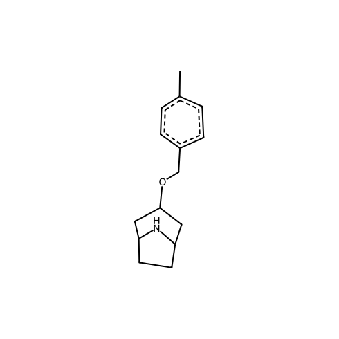 Cc1ccc(COC2CC3CCC(C2)N3)cc1